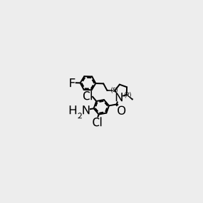 C[C@@H]1CC[C@H](CCc2ccc(F)cc2)N1C(=O)c1cc(Cl)c(N)c(Cl)c1